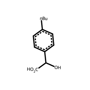 CCCCc1ccc(C(O)C(=O)O)cc1